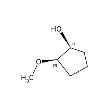 CO[C@@H]1CCC[C@@H]1O